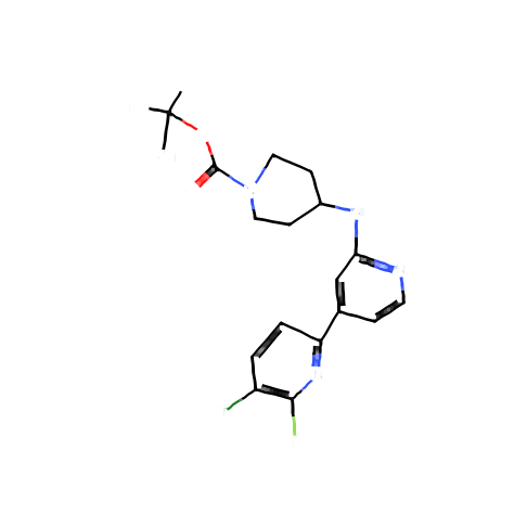 CC(C)(C)OC(=O)N1CCC(Nc2cc(-c3ccc(Cl)c(F)n3)ccn2)CC1